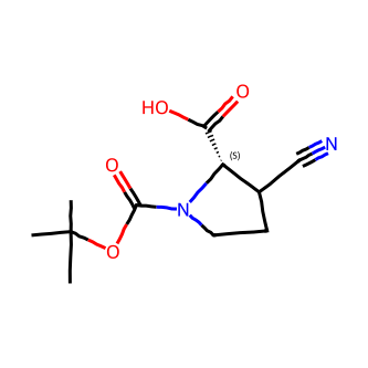 CC(C)(C)OC(=O)N1CCC(C#N)[C@H]1C(=O)O